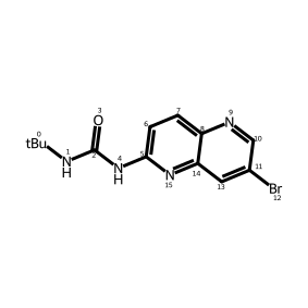 CC(C)(C)NC(=O)Nc1ccc2ncc(Br)cc2n1